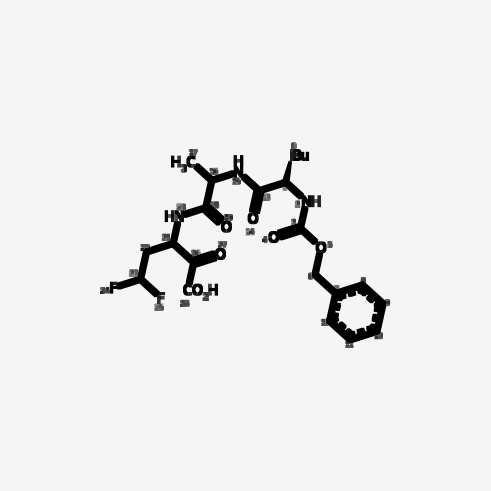 CC[C@H](C)C(NC(=O)OCc1ccccc1)C(=O)NC(C)C(=O)NC(CC(F)F)C(=O)C(=O)O